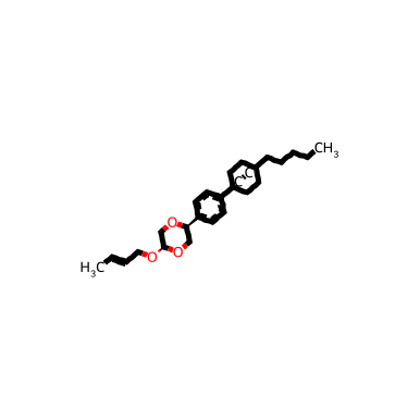 CC=CCO[C@@H]1CO[C@@H](c2ccc(C34CCC(CCCCC)(CC3)CC4)cc2)CO1